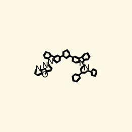 c1ccc(-c2cc(-c3ccccc3)nc(-n3c4ccccc4c4cc(-c5cccc(-c6ccc7c(c6)c6ccccc6n7-c6ccc7oc8cccnc8c7n6)c5)ccc43)c2)cc1